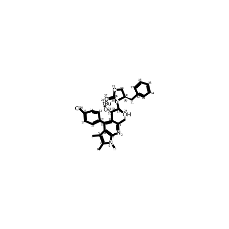 Cc1nc2c(c(C)c(C)n2C)c(-c2ccc(Cl)cc2)c1[C@H](OC(C)(C)C)C(O)N1C(=O)OC[C@H]1Cc1ccccc1